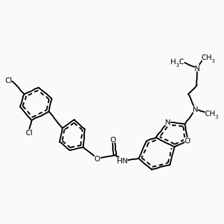 CN(C)CCN(C)c1nc2cc(NC(=O)Oc3ccc(-c4ccc(Cl)cc4Cl)cc3)ccc2o1